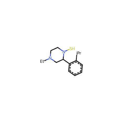 CCN1CCN(S)C(c2ccccc2C(C)C)C1